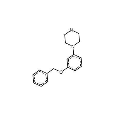 c1ccc(COc2cccc(N3CC[N]CC3)c2)cc1